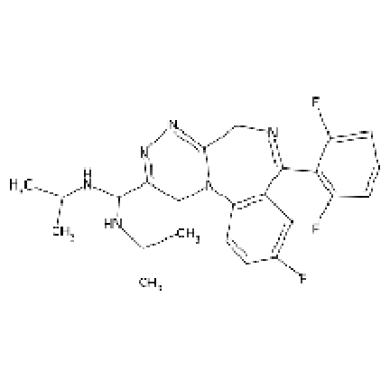 CC(C)NC(NC(C)C)C1=NN=C2CN=C(c3c(F)cccc3F)c3cc(F)ccc3N2C1